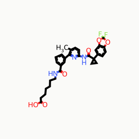 Cc1ccc(NC(=O)C2(c3ccc4c(c3)OC(F)(F)O4)CC2)nc1-c1cccc(C(=O)NCCCCCCC(=O)O)c1